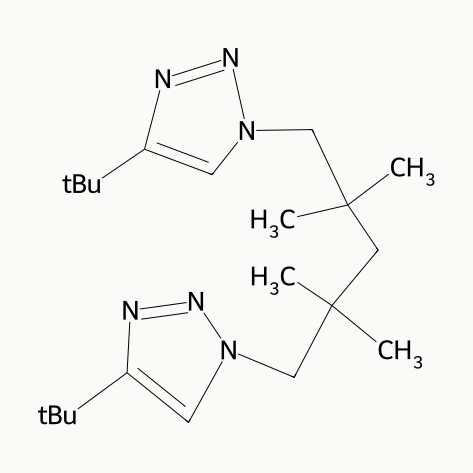 CC(C)(Cn1cc(C(C)(C)C)nn1)CC(C)(C)Cn1cc(C(C)(C)C)nn1